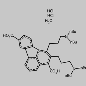 CCCCN(CCCC)CCCc1c(CCCN(CCCC)CCCC)c2c3c(cccc3c1C(=O)O)-c1cc(C(=O)O)ccc1-2.Cl.Cl.O